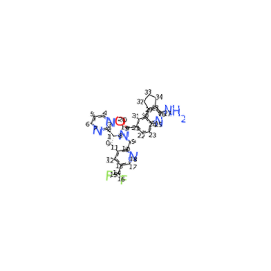 C[C@H](c1ncccn1)N(Cc1ccc(C(F)F)cn1)C(=O)c1ccc2nc(N)c3c(c2c1)CCC3